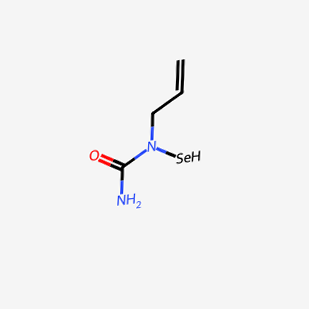 C=CCN([SeH])C(N)=O